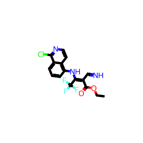 CCOC(=O)/C(C=N)=C(/Nc1cccc2c(Cl)nccc12)C(F)(F)F